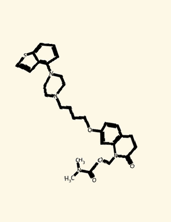 CN(C)C(=O)OCN1C(=O)CCc2ccc(OCCCCN3CCN(c4cccc5sccc45)CC3)cc21